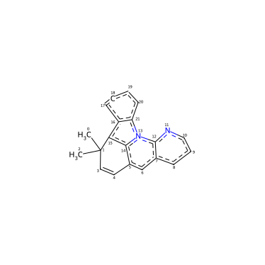 CC1(C)C=Cc2cc3cccnc3n3c2c1c1ccccc13